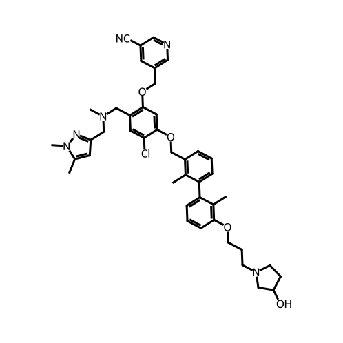 Cc1c(COc2cc(OCc3cncc(C#N)c3)c(CN(C)Cc3cc(C)n(C)n3)cc2Cl)cccc1-c1cccc(OCCCN2CCC(O)C2)c1C